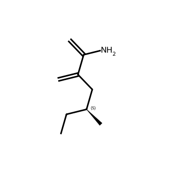 C=C(N)C(=C)C[C@@H](C)CC